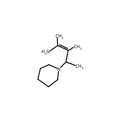 CC([SiH3])=C(C)C(C)N1CCCCC1